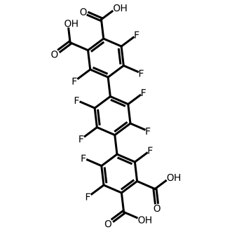 O=C(O)c1c(F)c(F)c(-c2c(F)c(F)c(-c3c(F)c(F)c(C(=O)O)c(C(=O)O)c3F)c(F)c2F)c(F)c1C(=O)O